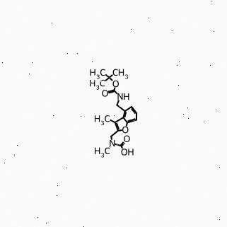 Cc1c(CN(C)C(=O)O)oc2cccc(CNC(=O)OC(C)(C)C)c12